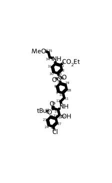 CCOC(=O)c1cc(S(=O)(=O)c2ccc(CCNC(C(=O)OC(C)(C)C)[C@H](O)c3cccc(Cl)c3)cc2)ccc1NCCOC